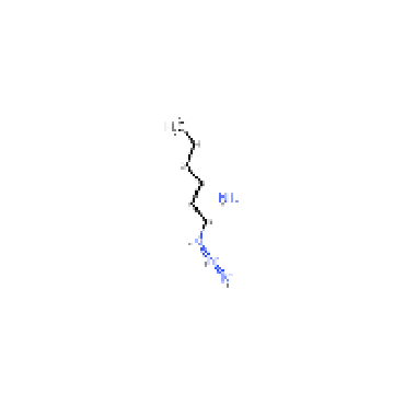 CCCCCCN=[N+]=[N-].N